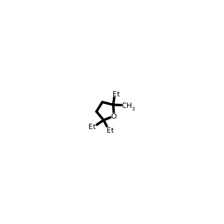 CCC1(C)CCC(CC)(CC)O1